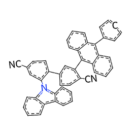 N#Cc1ccc(-c2ccc(C#N)c(-c3c4ccccc4c(-c4ccccc4)c4ccccc34)c2)c(-n2c3ccccc3c3ccccc32)c1